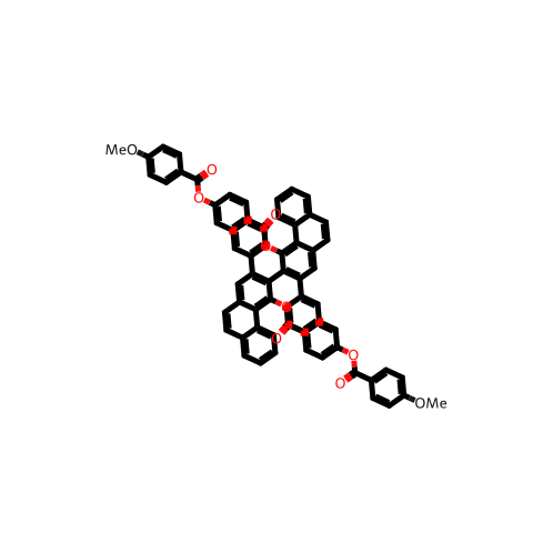 COc1ccc(C(=O)Oc2ccc(C(=O)Oc3c(-c4c(-c5ccccc5)cc5ccc6ccccc6c5c4OC(=O)c4ccc(OC(=O)c5ccc(OC)cc5)cc4)c(-c4ccccc4)cc4ccc5ccccc5c34)cc2)cc1